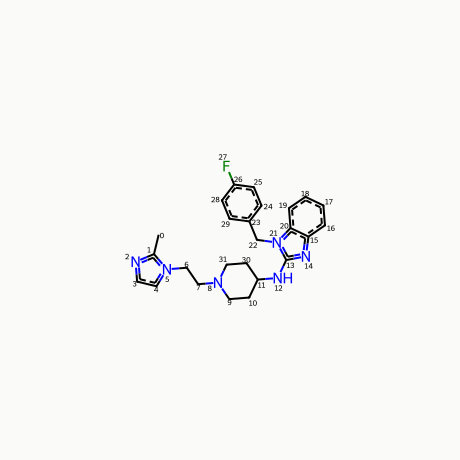 Cc1nccn1CCN1CCC(Nc2nc3ccccc3n2Cc2ccc(F)cc2)CC1